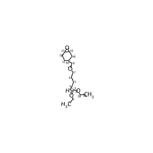 CCO[SiH](CCCCOCC1CCC2OC2C1)OCC